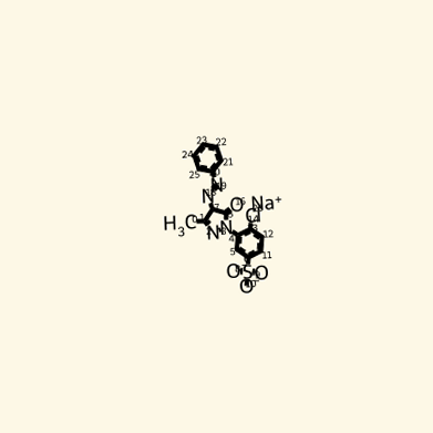 CC1=NN(c2cc(S(=O)(=O)[O-])ccc2Cl)C(=O)C1N=Nc1ccccc1.[Na+]